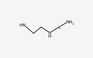 [NH]CC[NH][Ir][NH2]